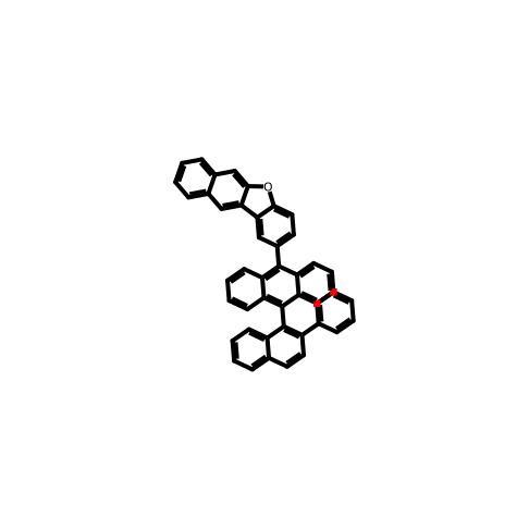 c1ccc(-c2ccc3ccccc3c2-c2c3ccccc3c(-c3ccc4oc5cc6ccccc6cc5c4c3)c3ccccc23)cc1